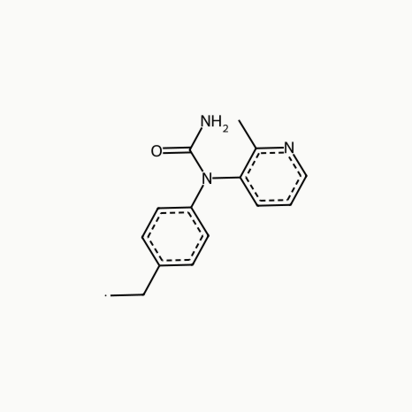 [CH2]Cc1ccc(N(C(N)=O)c2cccnc2C)cc1